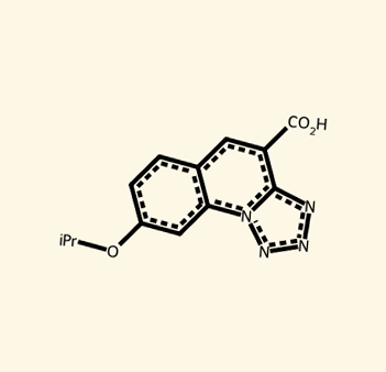 CC(C)Oc1ccc2cc(C(=O)O)c3nnnn3c2c1